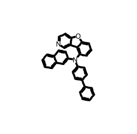 c1ccc(-c2ccc(N(c3ccc4ccccc4c3)c3cccc4oc5ccncc5c34)cc2)cc1